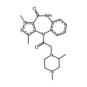 Cc1nn(C)c2c1N(C(=O)CN1CCN(C)CC1C)c1ccccc1NC2=O